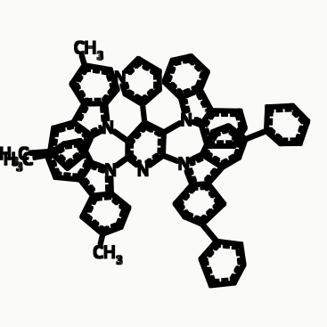 Cc1ccc2c(c1)c1cc(C)ccc1n2-c1nc(-n2c3ccc(-c4ccccc4)cc3c3cc(-c4ccccc4)ccc32)c(-n2c3ccccc3c3ccccc32)c(-c2cccnc2)c1-n1c2ccc(C)cc2c2cc(C)ccc21